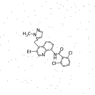 CCc1cnc2c(NC(=O)c3c(Cl)cccc3Cl)cccc2c1CS1=CC=NN1C